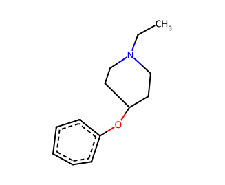 CCN1CCC(Oc2ccccc2)CC1